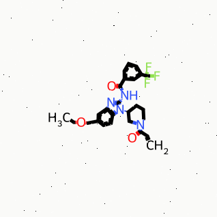 C=CC(=O)N1CCC[C@@H](n2c(NC(=O)c3cccc(C(F)(F)F)c3)nc3cc(COCC)ccc32)C1